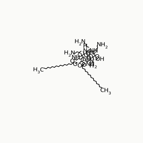 CCCCCCCCCCCCCCCC(=O)OC[C@H](CSC[C@H](N)C(=O)N[C@@H](CO)C(=O)C(=O)[C@H](CCCCN)NN[C@@H](CCCCN)C(=O)N[C@@H](CCCCN)C(=O)C(=O)[C@@H](N)CCCCN)OC(=O)CCCCCCCCCCCCCCC